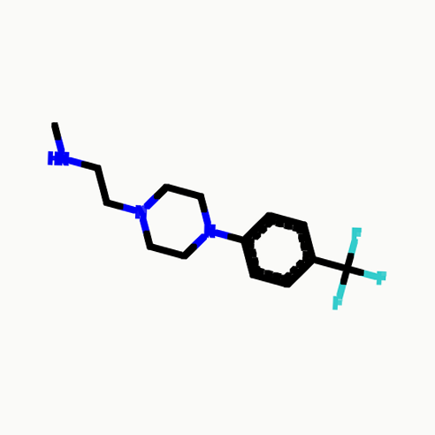 CNCCN1CCN(c2ccc(C(F)(F)F)cc2)CC1